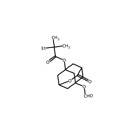 CCC(C)(C)C(=O)OC12CC3CC(OC=O)(CC(C1)C(=O)O3)C2